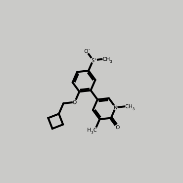 Cc1cc(-c2cc([S+](C)[O-])ccc2OCC2CCC2)cn(C)c1=O